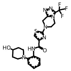 O=C(Nc1ccccc1N1CCC(O)CC1)c1csc(N2CCn3c(nnc3C(F)(F)F)C2)n1